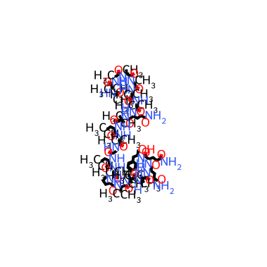 CC(=O)NC(C)(C)C(=O)NC(C)C(=O)NC(C)C(=O)NC(C)C(=O)NC(C)(C)C(=O)NC(C)(C)C(=O)NC(CCC(N)=O)C(=O)NC(C)(C)C(=O)NC(CC(C)C)C(=O)NC(C)(C)C(=O)NCC(=O)NC(CC(C)C)C(=O)NC(C)(C)C(=O)N1CCCC1C(=O)NC(C(=O)NC(C)(C)C(=O)NC(C)(C)C(=O)NC(CCC(N)=O)C(=O)NC(CCC(N)=O)C(=O)NC(CO)Cc1ccccc1)C(C)C